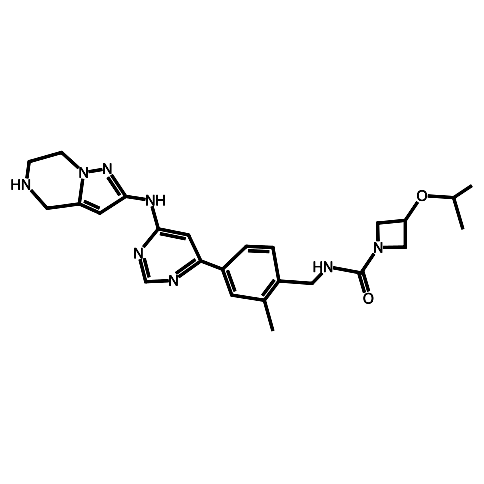 Cc1cc(-c2cc(Nc3cc4n(n3)CCNC4)ncn2)ccc1CNC(=O)N1CC(OC(C)C)C1